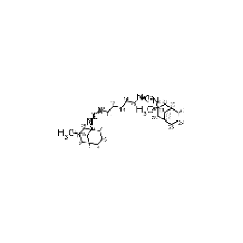 CC1CC2CCCC(N=C=NCCCCCN=C=NC3(C)CC4CCCC(C4)C3)(C1)C2